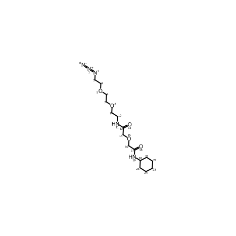 [N-]=[N+]=NCCOCCOCCNC(=O)COCC(=O)NC1CCCCC1